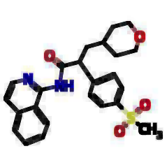 CS(=O)(=O)c1ccc(C(CC2CCOCC2)C(=O)Nc2nccc3ccccc23)cc1